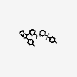 O=S(=O)(c1ccc(F)cc1)N1CCC[C@@H](Nc2nccc(-c3c(-c4ccc(F)cc4)nc4sccn34)n2)C1